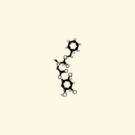 CN(CC(=O)Oc1cc(Cl)c(Cl)cc1Cl)C(=O)OCc1ccccc1